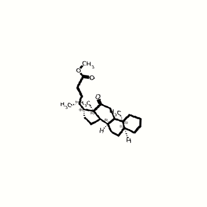 COC(=O)CC[C@@H](C)[C@H]1CCC2[C@@H]3CC[C@@H]4CCCC[C@]4(C)C3CC(=O)[C@@]21C